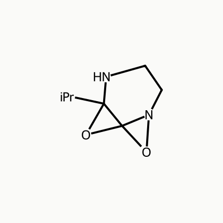 CC(C)C12NCCN3OC31O2